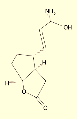 N[C@H](O)/C=C/[C@H]1CC[C@@H]2OC(=O)C[C@@H]21